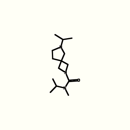 CC(C)N1CCC2(CN(C(=O)N(C)C(C)C)C2)C1